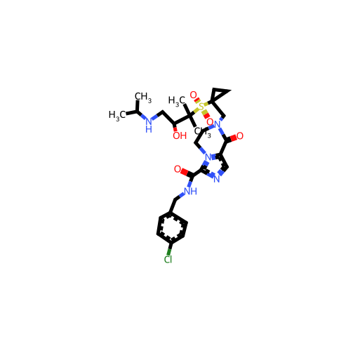 CC(C)NCC(O)C(C)(C)S(=O)(=O)C1(CN2CCn3c(cnc3C(=O)NCc3ccc(Cl)cc3)C2=O)CC1